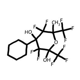 CC1(C(F)(F)F)OC(O)(C(F)(F)F)C(F)(F)C(O)(C2CCCCC2)C1(F)F